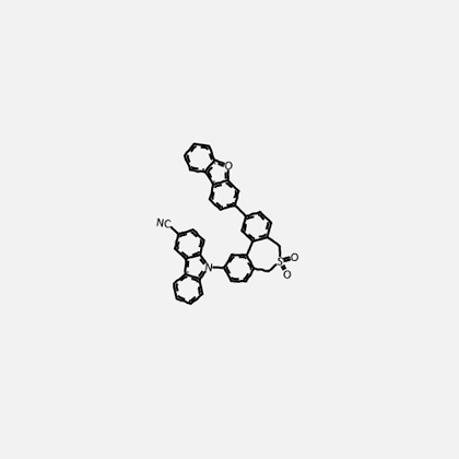 N#Cc1ccc2c(c1)c1ccccc1n2-c1ccc2c(c1)-c1cc(-c3ccc4c(c3)oc3ccccc34)ccc1CS(=O)(=O)C2